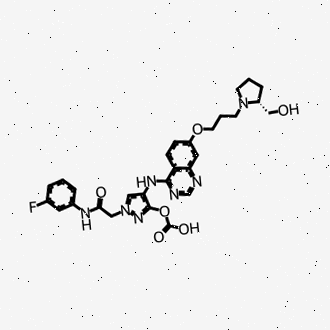 O=C(Cn1cc(Nc2ncnc3cc(OCCCN4CCC[C@@H]4CO)ccc23)c(OC(=O)O)n1)Nc1cccc(F)c1